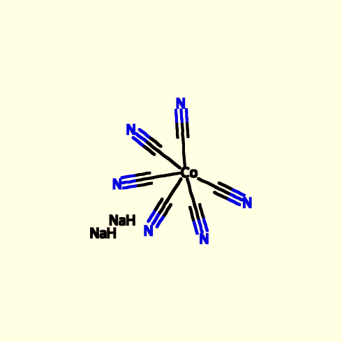 N#[C][Co]([C]#N)([C]#N)([C]#N)([C]#N)[C]#N.[NaH].[NaH]